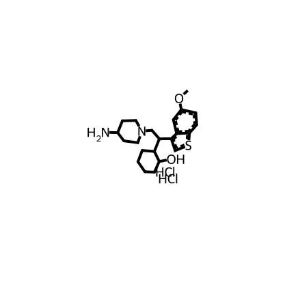 COc1ccc2scc(C(CN3CCC(N)CC3)C3CCCCC3O)c2c1.Cl.Cl